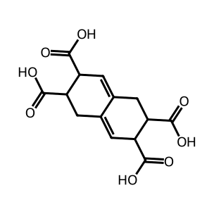 O=C(O)C1C=C2CC(C(=O)O)C(C(=O)O)C=C2CC1C(=O)O